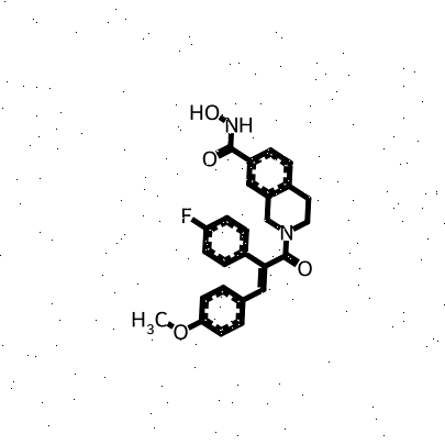 COc1ccc(C=C(C(=O)N2CCc3ccc(C(=O)NO)cc3C2)c2ccc(F)cc2)cc1